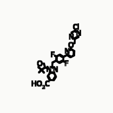 CC1(C)COCC1n1c(Cc2cc(F)c(-c3cccc(OCc4cnc(Cl)cn4)n3)cc2F)nc2ccc(C(=O)O)cc21